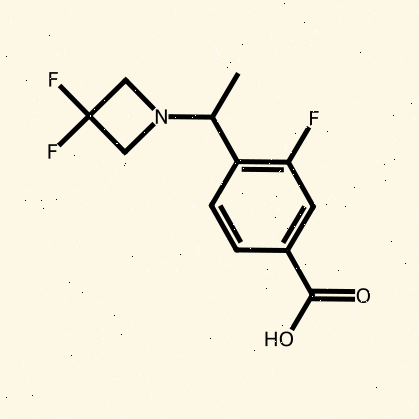 CC(c1ccc(C(=O)O)cc1F)N1CC(F)(F)C1